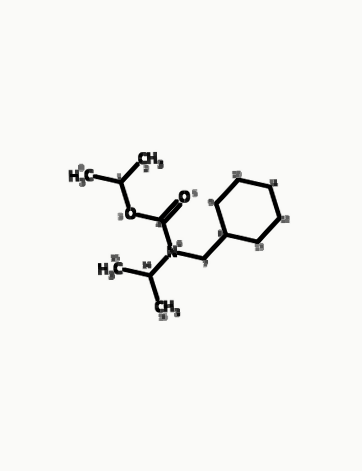 CC(C)OC(=O)N(CC1CCCCC1)C(C)C